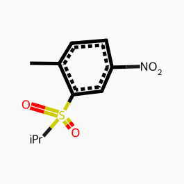 Cc1ccc([N+](=O)[O-])cc1S(=O)(=O)C(C)C